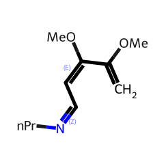 C=C(OC)/C(=C\C=N/CCC)OC